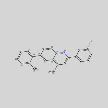 CNc1cc(-c2cccc(F)c2)nc2ccc(-c3ccccc3C)cc12